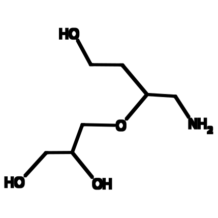 NCC(CCO)OCC(O)CO